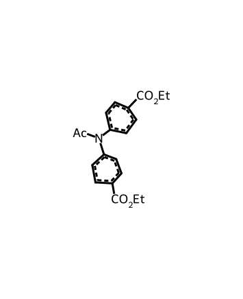 CCOC(=O)c1ccc(N(C(C)=O)c2ccc(C(=O)OCC)cc2)cc1